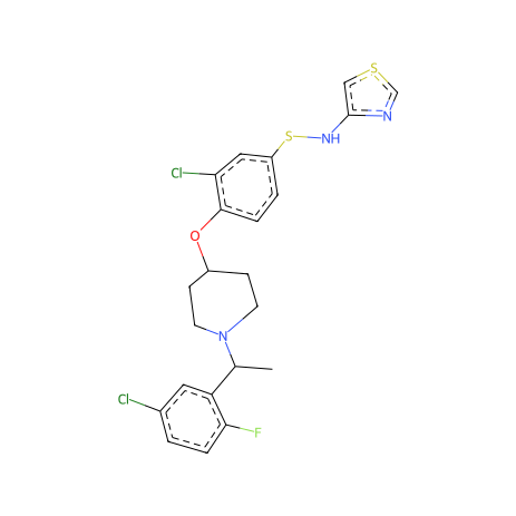 CC(c1cc(Cl)ccc1F)N1CCC(Oc2ccc(SNc3cscn3)cc2Cl)CC1